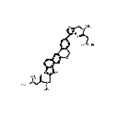 CC[C@H](S)CC(=O)N(Cc1ncc(-c2ccc3c(c2)COc2cc4c(ccc5nc(CN(C(=O)CN(N)C(=O)O)[C@@H](C)CC)[nH]c54)cc2-3)[nH]1)[C@@H](C)CC